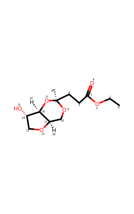 CCOC(=O)CC[C@@]1(C)OC[C@H]2OC[C@H](O)[C@H]2O1